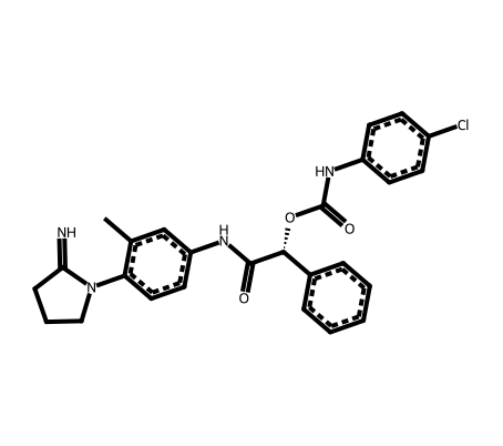 Cc1cc(NC(=O)[C@H](OC(=O)Nc2ccc(Cl)cc2)c2ccccc2)ccc1N1CCCC1=N